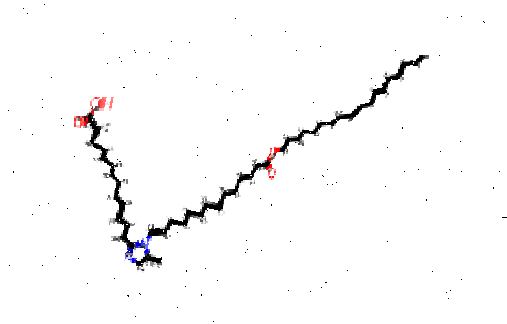 CCCCCCCCC=CCCCCCCCCOC(=O)CCCCCCCCCCCCCN1C(CCCCCCCCCCCCC(=O)O)=NCC1C